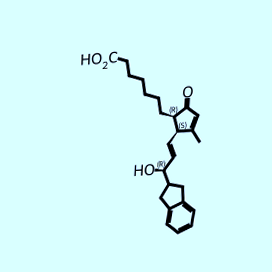 CC1=CC(=O)[C@H](CCCCCCC(=O)O)[C@@H]1C=C[C@H](O)C1Cc2ccccc2C1